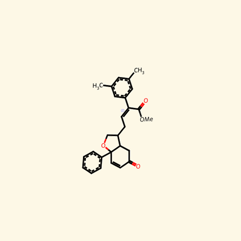 COC(=O)/C(=C\CC1COC2(c3ccccc3)C=CC(=O)CC12)c1cc(C)cc(C)c1